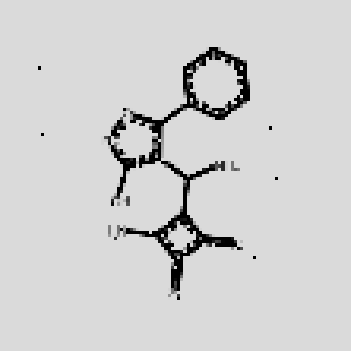 Nc1c(C(N)c2c(O)noc2-c2ccccc2)c(=O)c1=O